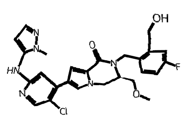 COC[C@H]1Cn2cc(-c3cc(Nc4ccnn4C)ncc3Cl)cc2C(=O)N1Cc1ccc(F)cc1CO